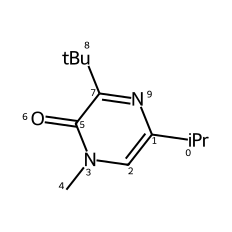 CC(C)c1cn(C)c(=O)c(C(C)(C)C)n1